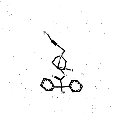 CC(C)(C)C#CC[N+]12CCC(CC1)[C@@H](OC(=O)C(O)(c1ccccc1)c1ccccc1)C2.[Br-]